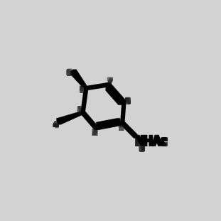 CC(=O)NC1=C[C@@H](C)[C@@H](C)C=C1